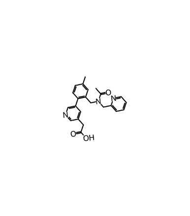 CC(=O)N(Cc1ccccn1)Cc1cc(C)ccc1-c1cncc(CC(=O)O)c1